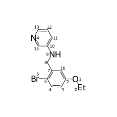 CCOc1ccc(Br)c(CNc2cccnc2)c1